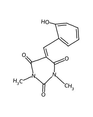 CN1C(=O)C(=Cc2ccccc2O)C(=O)N(C)C1=O